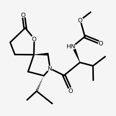 COC(=O)N[C@H](C(=O)N1C[C@]2(CCC(=O)O2)C[C@H]1C(C)C)C(C)C